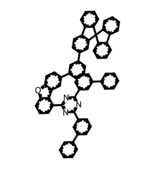 c1ccc(-c2cccc(-c3nc(-c4cccc(-c5ccccc5)c4)nc(-c4cccc5oc6ccc(-c7cccc(-c8ccc9c(c8)C8(c%10ccccc%10-c%10ccccc%108)c8ccccc8-9)c7)cc6c45)n3)c2)cc1